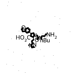 CCCCN(CCCN)C(=O)CN1C[C@H](c2ccc3c(c2)CCO3)[C@@H](C(=O)O)[C@@H]1CCc1nccn1C